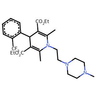 CCOC(=O)C1=C(C)N(CCN2CCN(C)CC2)C(C)=C(C(=O)OCC)C1c1ccccc1C(F)(F)F